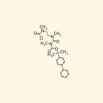 CN(CCN(C)C(=O)N(C)C(=O)OC(C)(C)c1ccc(-c2ccccc2)cc1)C(=O)Cl